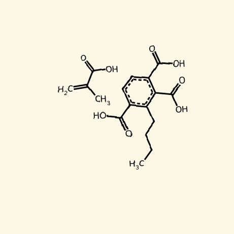 C=C(C)C(=O)O.CCCCc1c(C(=O)O)ccc(C(=O)O)c1C(=O)O